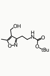 Cc1onc(CCNC(=O)OC(C)(C)C)c1CO